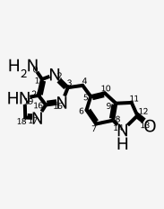 Nc1nc(Cc2ccc3c(c2)CC(=O)N3)nc2nc[nH]c12